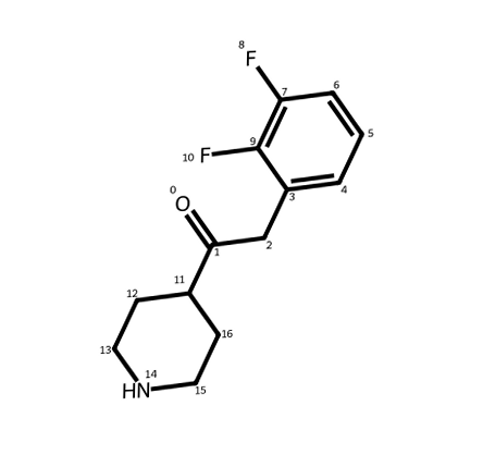 O=C(Cc1cccc(F)c1F)C1CCNCC1